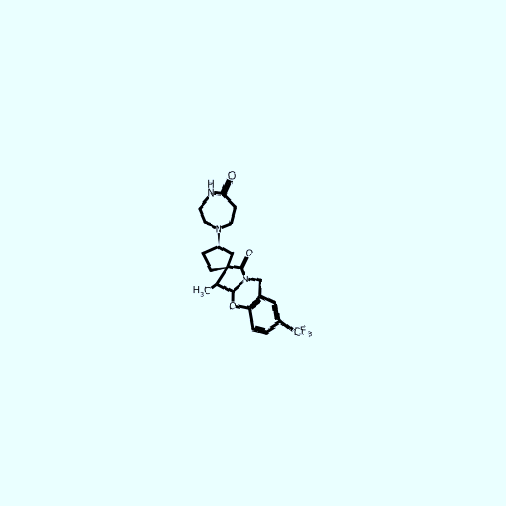 CC1C2Oc3ccc(C(F)(F)F)cc3CN2C(=O)[C@]12CC[C@@H](N1CCNC(=O)CC1)C2